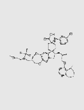 COCCN(CC1COc2cc3c(cc2OC1)C1(CCC(Nc2cccc(Cl)c2)(C(=O)O)CC1)[C@@H](C[C@@H](C)COc1ccnc2c1[C@H](C)CCC2)C3)C(F)(F)F